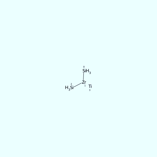 [SiH3][Zr][SiH3].[Ti]